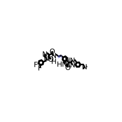 CN(C)Cc1ccc2c(c1)CNC(=C1C(=O)Nc3cc(/C=C/CNC(=O)c4cncn(Cc5ccc(F)c(F)c5)c4=O)ccc31)N2